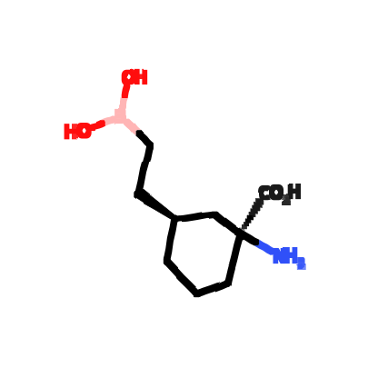 N[C@@]1(C(=O)O)CCC[C@@H](CCB(O)O)C1